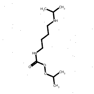 CC(C)NCCCCNC(=O)OOC(C)C